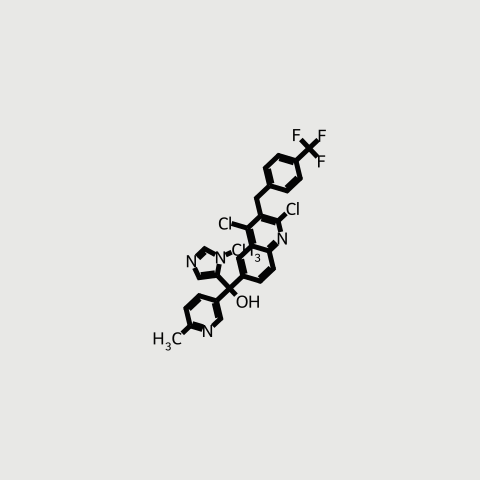 Cc1ccc(C(O)(c2ccc3nc(Cl)c(Cc4ccc(C(F)(F)F)cc4)c(Cl)c3c2)c2cncn2C)cn1